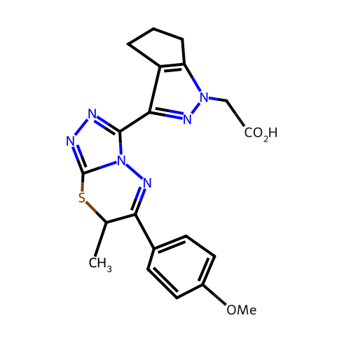 COc1ccc(C2=Nn3c(nnc3-c3nn(CC(=O)O)c4c3CCC4)SC2C)cc1